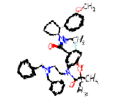 CCN(C(=O)c1cc2c(cc1F)OC(C)(C)C(=O)N2CCN(Cc1ccccc1)Cc1ccccc1)C1CCCC[C@@H]1c1cccc(OC)c1